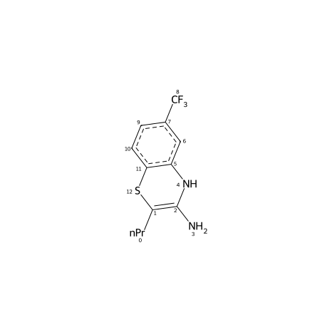 CCCC1=C(N)Nc2cc(C(F)(F)F)ccc2S1